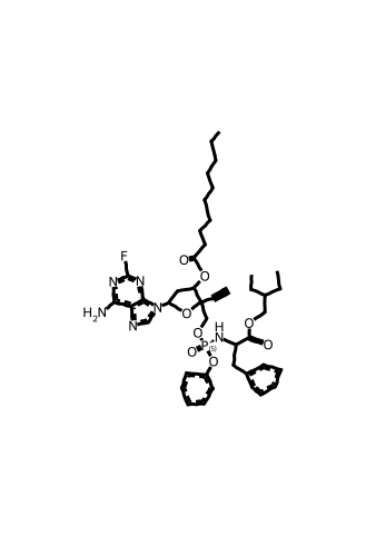 C#CC1(CO[P@@](=O)(NC(Cc2ccccc2)C(=O)OCC(CC)CC)Oc2ccccc2)OC(n2cnc3c(N)nc(F)nc32)CC1OC(=O)CCCCCCCCC